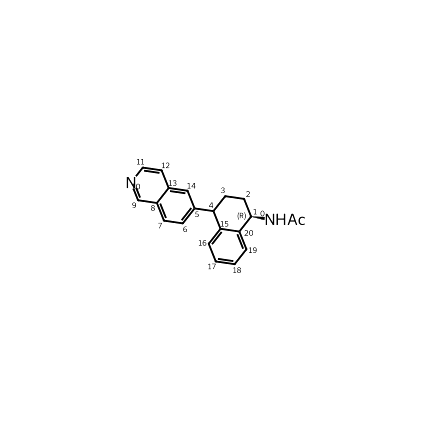 CC(=O)N[C@@H]1CCC(c2ccc3cnccc3c2)c2ccccc21